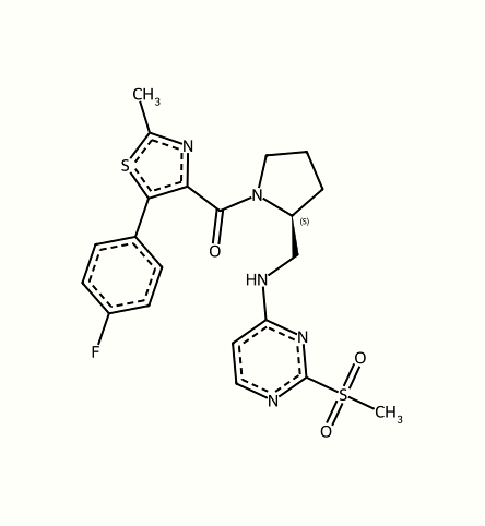 Cc1nc(C(=O)N2CCC[C@H]2CNc2ccnc(S(C)(=O)=O)n2)c(-c2ccc(F)cc2)s1